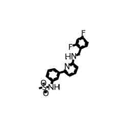 CS(=O)(=O)Nc1cccc(-c2cccc(NCc3ccc(F)cc3F)n2)c1